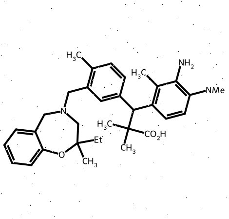 CCC1(C)CN(Cc2cc(C(c3ccc(NC)c(N)c3C)C(C)(C)C(=O)O)ccc2C)Cc2ccccc2O1